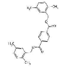 Cc1ccc(C)c(COC(=O)c2ccc(C(=O)OCc3cc(C)ccc3C)cc2)c1